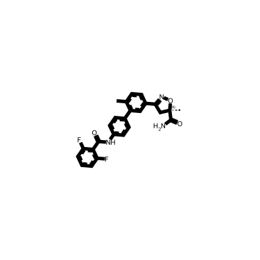 Cc1ccc(C2=NO[C@@](C)(C(N)=O)C2)cc1-c1ccc(NC(=O)c2c(F)cccc2F)cc1